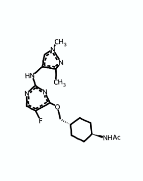 CC(=O)N[C@H]1CC[C@H](COc2nc(Nc3cn(C)nc3C)ncc2F)CC1